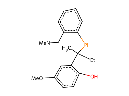 CCC(C)(Pc1ccccc1CNC)c1cc(OC)ccc1O